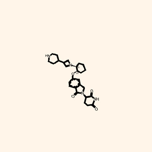 O=C1CCC(N2Cc3cc(O[C@@H]4CCCC[C@@H]4N4CC(C5CCNCC5)C4)ccc3C2=O)C(=O)N1